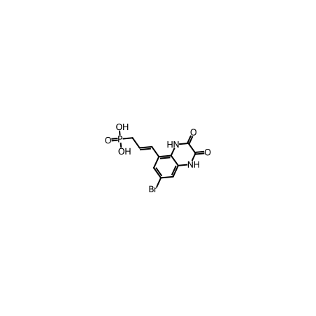 O=c1[nH]c2cc(Br)cc(C=CCP(=O)(O)O)c2[nH]c1=O